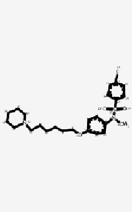 CN(c1ccc(OCCCCCCN2CCCCC2)cc1)S(=O)(=O)c1ccc(F)cc1